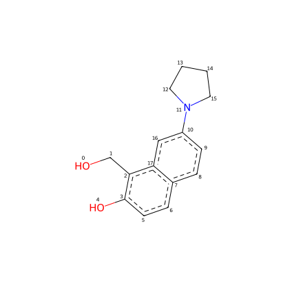 OCc1c(O)ccc2ccc(N3CCCC3)cc12